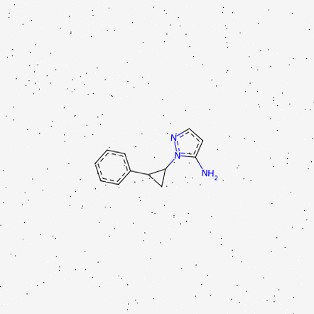 Nc1ccnn1C1CC1c1ccccc1